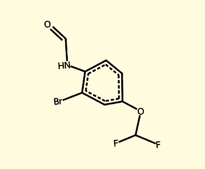 O=CNc1ccc(OC(F)F)cc1Br